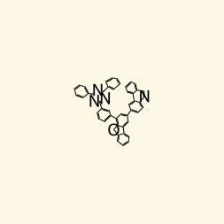 c1ccc(-c2nc(-c3ccccc3)nc(-c3cccc(-c4cc(-c5ccc6ncc7ccccc7c6c5)cc5c4oc4ccccc45)c3)n2)cc1